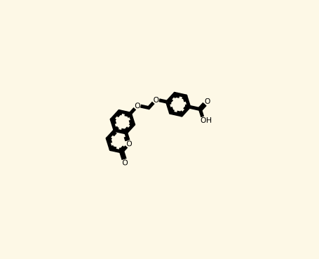 O=C(O)c1ccc(OCOc2ccc3ccc(=O)oc3c2)cc1